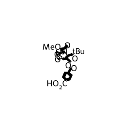 CO[C@H]1C(=O)N2C(C(=O)C(C)(C)C)=C(COC(=O)c3ccc(C(=O)O)cc3)CS(=O)(=O)[C@@H]12